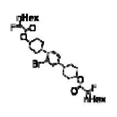 CCCCCC[C@H](F)C(=O)OC1CCC(c2ccc(C3CCC(OC(=O)[C@@H](F)CCCCCC)CC3)c(Br)c2)CC1